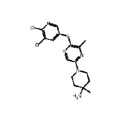 Cc1nc(N2CCC(C)(N)CC2)cnc1Sc1cnc(Cl)c(Cl)c1